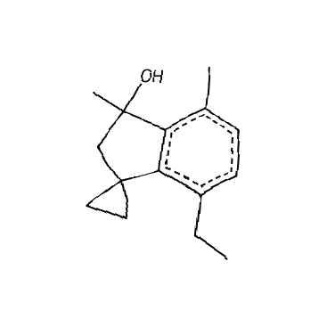 CCc1ccc(C)c2c1C1(CC1)CC2(C)O